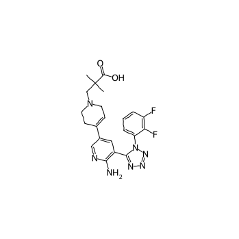 CC(C)(CN1CC=C(c2cnc(N)c(-c3nnnn3-c3cccc(F)c3F)c2)CC1)C(=O)O